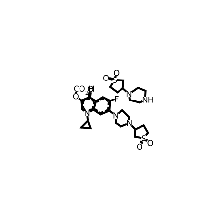 O=C(O)Oc1cn(C2CC2)c2cc(N3CCN(C4CCS(=O)(=O)C4)CC3)c(F)cc2c1=O.O=S1(=O)CCC(N2CCNCC2)C1